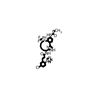 COC(=O)Nc1ccc2c(c1)N[C@@H](C(F)(F)F)CCCC[C@H](NC(=O)C=Cc1cc(Cl)ccc1-n1cnnn1)c1nc-2c[nH]1